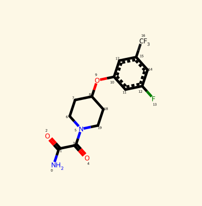 NC(=O)C(=O)N1CCC(Oc2cc(F)cc(C(F)(F)F)c2)CC1